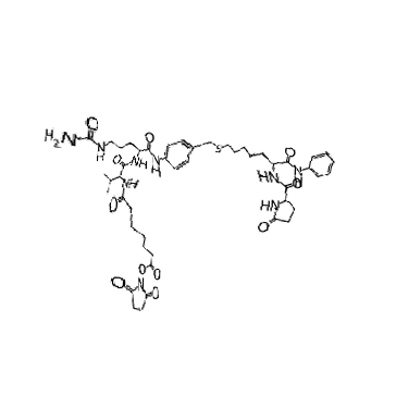 CC(C)C(NC(=O)CCCCCC(=O)ON1C(=O)CCC1=O)C(=O)N[C@@H](CCCNC(N)=O)C(=O)Nc1ccc(CSCCCCC[C@H](NC(=O)[C@H]2CCC(=O)N2)C(=O)Nc2ccccc2)cc1